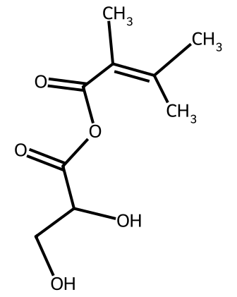 CC(C)=C(C)C(=O)OC(=O)C(O)CO